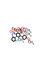 COc1ccc(-c2c(C)c3c(c(C)c2[C@H](OC(C)(C)C)C(=O)O)N(S(C)(=O)=O)Cc2cccc(F)c2-3)cc1